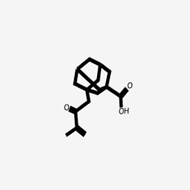 C=C(C)C(=O)CC12CC3CC(C1)CC(C(=O)O)(C3)C2